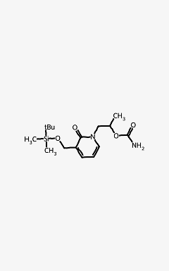 CC(Cn1cccc(CO[Si](C)(C)C(C)(C)C)c1=O)OC(N)=O